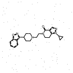 O=C1c2cnn(C3CC3)c2CCN1CCN1CCC(c2noc3ccccc23)CC1